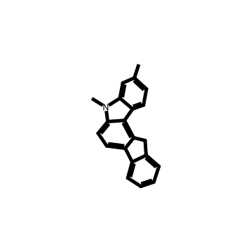 Cc1ccc2c3c4c(ccc3n(C)c2c1)-c1ccccc1C4